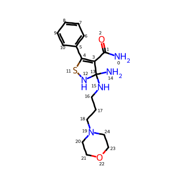 NC(=O)C1=C(c2ccccc2)SNC1(N)NCCCN1CCOCC1